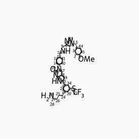 COc1ccc(Cn2cc(CNCc3ccc(-n4cc5cc(-c6cc(CCC[C@H](C)N)cc(SC(F)(F)F)c6)[nH]c5nc4=O)cc3)nn2)cc1